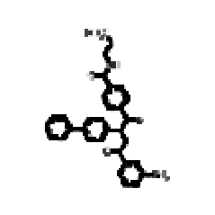 Bc1cccc(C(=O)CC(C(=O)c2ccc(C(=O)NCCC(=O)O)cc2)c2ccc(-c3ccccc3)cc2)c1